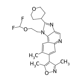 Cc1cc2c(cc1-c1c(C)noc1C)ncc1nc(C3CCOCC3)n(CCOC(F)F)c12